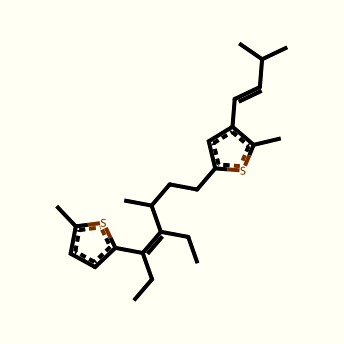 CC/C(=C(\CC)C(C)CCc1cc(/C=C/C(C)C)c(C)s1)c1ccc(C)s1